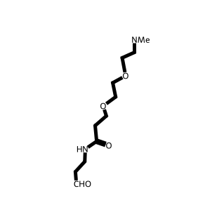 CNCCOCCOCCC(=O)NCCC=O